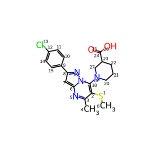 CSc1c(C)nc2cc(-c3ccc(Cl)cc3)nn2c1N1CCCC(C(=O)O)C1